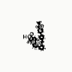 O=C(O)c1cnn(-c2cccc(-c3ccccc3OCc3ccc(C4CCN(S(=O)(=O)C5CC5)CC4)cc3F)n2)c1C(F)(F)F